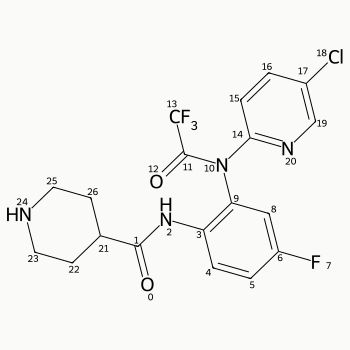 O=C(Nc1ccc(F)cc1N(C(=O)C(F)(F)F)c1ccc(Cl)cn1)C1CCNCC1